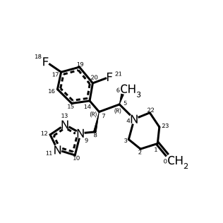 C=C1CCN([C@H](C)[C@@H](Cn2cncn2)c2ccc(F)cc2F)CC1